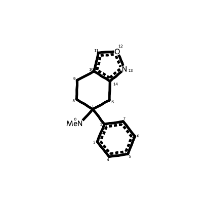 CNC1(c2ccccc2)CCc2conc2C1